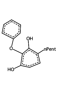 CCCCCc1ccc(O)c(Oc2ccccc2)c1O